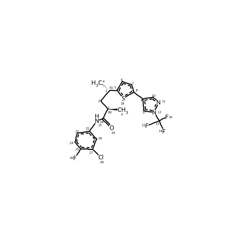 C[C@H](C[C@H](C)c1ccc(-c2cnn(C(F)(F)F)c2)s1)C(=O)Nc1ccc(F)c(Cl)c1